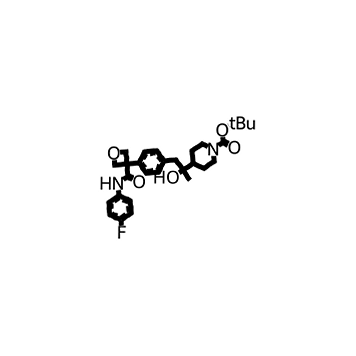 CC(C)(C)OC(=O)N1CCC(C(C)(O)Cc2ccc(C3(C(=O)Nc4ccc(F)cc4)COC3)cc2)CC1